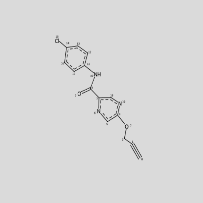 C#CCOc1cnc(C(=O)Nc2ccc(Cl)cc2)cn1